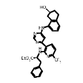 CCOC(=O)[C@H](Cc1ccccc1)Nc1nc(C(F)(F)F)ccc1-c1cc(Nc2cccc3c2C[C@@H](O)CC3)ncn1